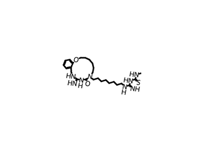 CNC(=S)NC(=N)NCCCCCCCCN1CCCCCCOc2ccccc2CNC(=N)NC1=O